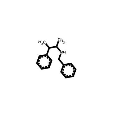 CC(NCc1ccccc1)C(C)c1ccccc1